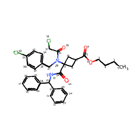 CCCCOC(=O)C1CC(C(=O)NC(c2ccccc2)c2ccccc2)(N(Cc2ccc(Cl)cc2)C(=O)CCl)C1